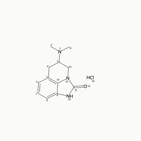 CN(C)C1Cc2cccc3[nH]c(=O)n(c23)C1.Cl